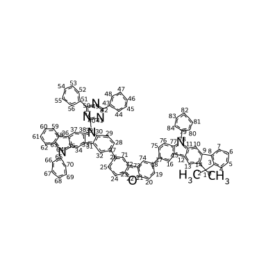 CC1(C)c2ccccc2-c2cc3c(cc21)c1cc(-c2ccc4oc5ccc(-c6ccc7c(c6)c6cc8c(cc6n7-c6nc(-c7ccccc7)nc(-c7ccccc7)n6)c6ccccc6n8-c6ccccc6)cc5c4c2)ccc1n3-c1ccccc1